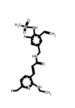 C=Cc1cc(CNC(=O)/C=C/c2ccc(CF)nc2NCC)cc(F)c1NS(C)(=O)=O